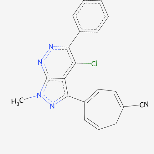 Cn1nc(C2=CC=C(C#N)CC=C2)c2c(Cl)c(-c3ccccc3)nnc21